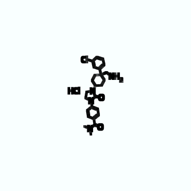 CN(C)C(=O)c1ccc(N2CCN([C@H]3CC[C@@](CN)(c4cccc(Cl)c4)CC3)C2=O)cc1.Cl